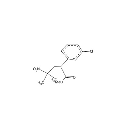 COC(=O)C(CC(C)(C)[N+](=O)[O-])c1cccc(Cl)c1